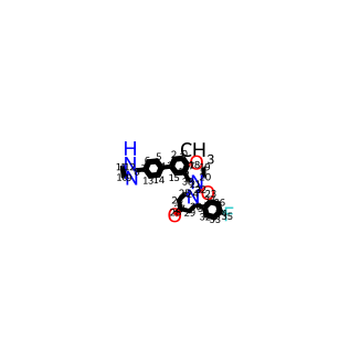 Cc1cc(-c2ccc(-c3ncc[nH]3)cc2)cc2c1OCCN(C(=O)N1CCC(=O)CC1c1ccc(F)cc1)C2